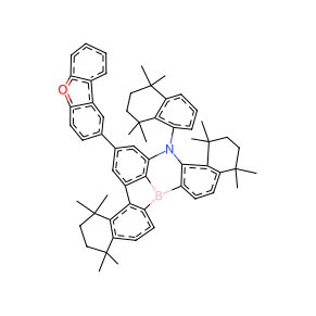 CC1(C)CCC(C)(C)c2c(N3c4cc(-c5ccc6oc7ccccc7c6c5)cc5c4B(c4ccc6c(c4-5)C(C)(C)CCC6(C)C)c4ccc5c(c43)C(C)(C)CCC5(C)C)cccc21